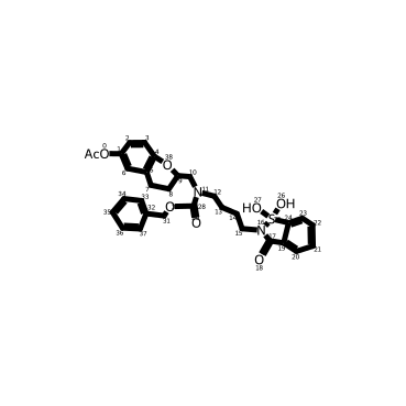 CC(=O)Oc1ccc2c(c1)CCC(CN(CCCCN1C(=O)c3ccccc3S1(O)O)C(=O)OCc1ccccc1)O2